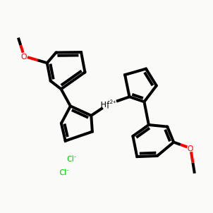 COc1cccc(C2=[C]([Hf+2][C]3=C(c4cccc(OC)c4)C=CC3)CC=C2)c1.[Cl-].[Cl-]